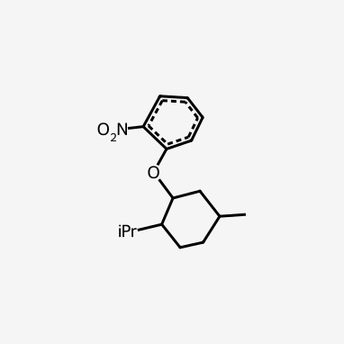 CC1CCC(C(C)C)C(Oc2ccccc2[N+](=O)[O-])C1